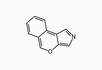 c1ccc2c3cncc-3occ2c1